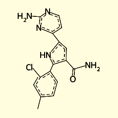 Cc1ccc(-c2[nH]c(-c3ccnc(N)n3)cc2C(N)=O)c(Cl)c1